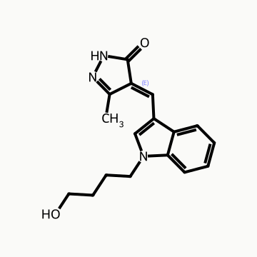 CC1=NNC(=O)/C1=C/c1cn(CCCCO)c2ccccc12